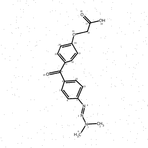 CN(C)/N=N/c1ccc(C(=O)c2ccc(OCC(=O)O)cc2)cc1